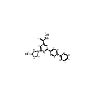 O=C(NO)c1cc(-c2ccc(-c3cccnc3)cc2)nc(N2CCC(O)C2)c1